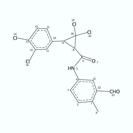 Cc1ccc(NC(=O)C2C(c3ccc(Cl)c(Cl)c3)C2(Cl)Cl)cc1C=O